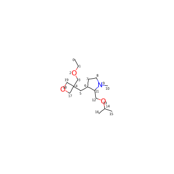 CCOCC1(CC2CCN(C)C2COC(C)C)COC1